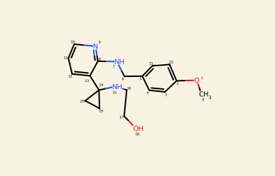 COc1ccc(CNc2ncccc2C2(NCCO)CC2)cc1